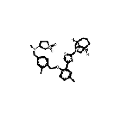 Cc1ccc(OCc2ccc(CN(C)[C@@H]3CCS(=O)(=O)C3)cc2C)c(-c2csc(N3C[C@H]4CCC[C@@H](C3)[C@H]4C(=O)O)n2)c1